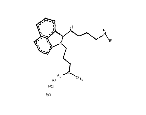 CC(C)NCCCNC1c2cccc3cccc(c23)N1CCCN(C)C.Cl.Cl.Cl